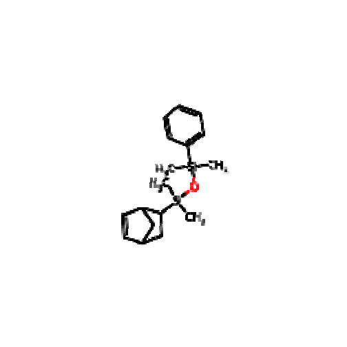 C[Si](C)(O[Si](C)(C)C1CC2C=CC1C2)c1ccccc1